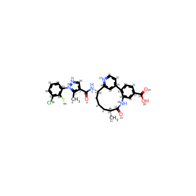 Cc1c(C(=O)N[C@H]2CCC[C@@H](C)C(=O)Nc3cc(C(=O)O)ccc3-c3ccnc2c3)cnn1-c1cccc(Cl)c1F